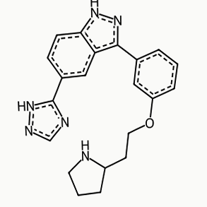 c1cc(OCCC2CCCN2)cc(-c2n[nH]c3ccc(-c4ncn[nH]4)cc23)c1